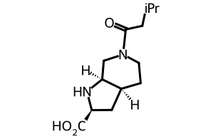 CC(C)CC(=O)N1CC[C@H]2C[C@@H](C(=O)O)N[C@H]2C1